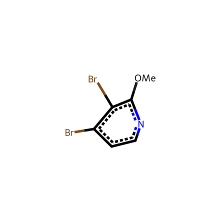 COc1nccc(Br)c1Br